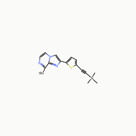 CC(C)(C)c1nccn2[c]c(-c3ccc(C#C[Si](C)(C)C)s3)nc12